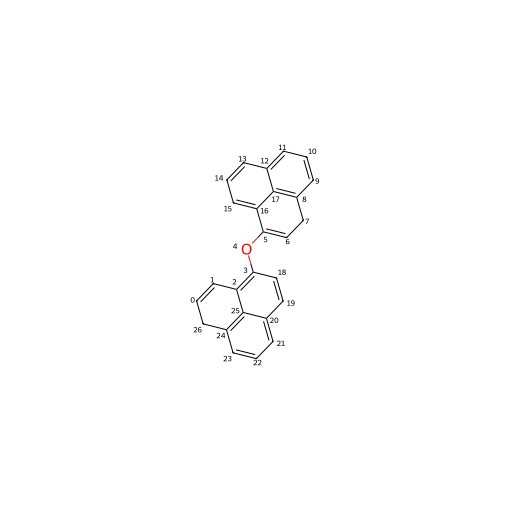 C1=Cc2c(OC3=CCc4cccc5cccc3c45)ccc3cccc(c23)C1